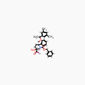 Cc1cc(C(C)OC[C@@]2(c3ccccc3)CCC(O)(C(=O)I)CN2C(=O)OCc2ccccc2)cc(C(F)(F)F)c1